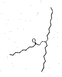 CCCCCCCCCCC(CCCCCCCC)CCC(=O)CCCCCCCC